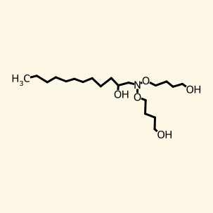 CCCCCCCCCCC(O)CN(OCCCCO)OCCCCO